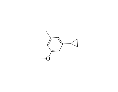 COc1cc(C)cc(C2CC2)c1